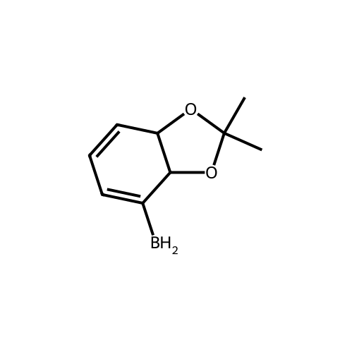 BC1=CC=CC2OC(C)(C)OC12